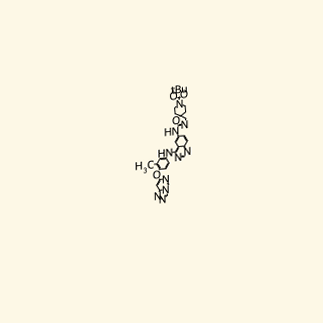 Cc1cc(Nc2ncnc3ccc(NC4=NCC5(CCN(C(=O)OC(C)(C)C)CC5)O4)cc23)ccc1Oc1cc2nncn2cn1